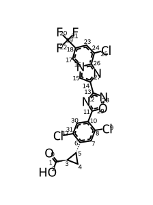 O=C(O)[C@@H]1C[C@H]1c1cc(Cl)c(-c2nc(-c3cn4cc(C(F)(F)F)cc(Cl)c4n3)no2)cc1Cl